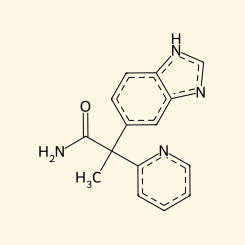 CC(C(N)=O)(c1ccc2[nH]cnc2c1)c1ccccn1